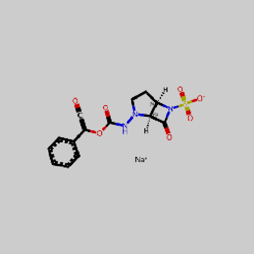 O=C=C(OC(=O)NN1CC[C@@H]2[C@H]1C(=O)N2S(=O)(=O)[O-])c1ccccc1.[Na+]